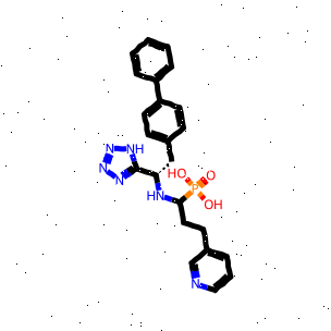 O=P(O)(O)C(CCc1cccnc1)N[C@@H](Cc1ccc(-c2ccccc2)cc1)c1nnn[nH]1